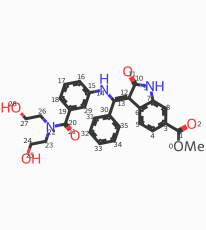 COC(=O)c1ccc2c(c1)NC(=O)/C2=C(\Nc1cccc(C(=O)N(CCO)CCO)c1)c1ccccc1